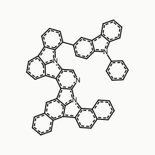 c1ccc(-n2c3ccccc3c3cc(-c4cccc5c6cccc7c8c9c%10cc%11ccccc%11c%11c%12ccc%13ccccc%13c%12n(c9ncc8n(c45)c67)c%10%11)ccc32)cc1